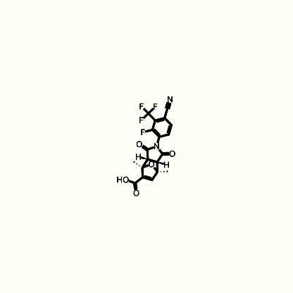 C[C@]12C=C(C(=O)O)[C@](C)(O1)[C@@H]1C(=O)N(c3ccc(C#N)c(C(F)(F)F)c3F)C(=O)[C@@H]12